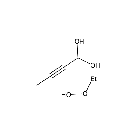 CC#CC(O)O.CCOO